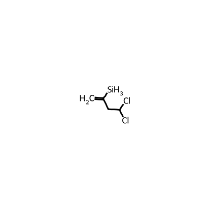 C=C([SiH3])CC(Cl)Cl